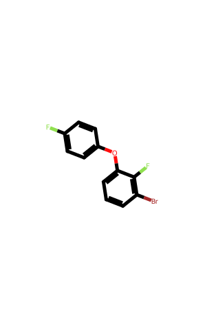 Fc1ccc(Oc2cc[c]c(Br)c2F)cc1